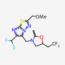 C=C1OC(CC(F)(F)F)CN1Cc1c(C(F)F)nc2sc(COC)nn12